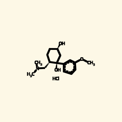 COc1cccc([C@]2(O)C[C@@H](O)CC[C@H]2CN(C)C)c1.Cl